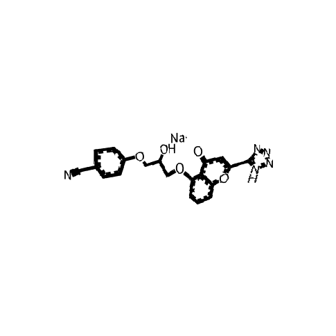 N#Cc1ccc(OCC(O)COc2cccc3oc(-c4nnn[nH]4)cc(=O)c23)cc1.[Na]